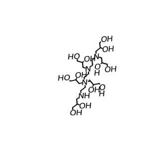 OCC(O)CNCC[N+](CCN(CCN(CC(O)CO)CC(O)CO)CC(O)CO)(CC(O)CO)CC(O)CO